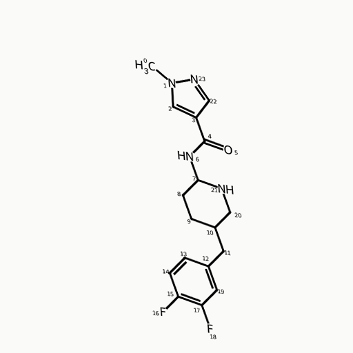 Cn1cc(C(=O)NC2CCC(Cc3ccc(F)c(F)c3)CN2)cn1